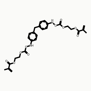 C=C(C)C(=O)OCCOC(=O)ONc1ccc(Cc2ccc(NOC(=O)OCCOC(=O)C(=C)C)cc2)cc1